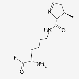 C[C@@H]1CC=N[C@H]1C(=O)NCCCC[C@H](N)C(=O)F